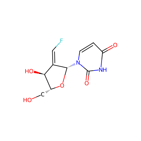 O=c1ccn([C@@H]2O[C@H](CO)[C@@H](O)/C2=C/F)c(=O)[nH]1